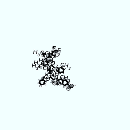 Cc1ccccc1C[C@H](NC(=O)[C@@H](COCc1ccccc1)NC(=O)[C@H](CO)NC(=O)C(C)c1ccc([N+](=O)[O-])cc1)C(=O)N[C@H](C(=O)N[C@@H](CC(C)C)C(=O)NC(C=O)CC(F)(F)F)C(C)(C)C